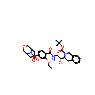 CCOc1cc(C(=O)N2C3COCC2CC(=O)C3)ccc1C(=O)NC[C@@H](O)C1Cc2ccccc2CN1C(=O)OC(C)(C)C